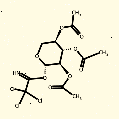 CC(=O)O[C@@H]1[C@@H](OC(C)=O)[C@H](OC(=N)C(Cl)(Cl)Cl)OC[C@H]1OC(C)=O